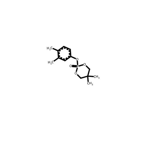 Cc1ccc(OP2(=O)OCC(C)(C)CO2)cc1C